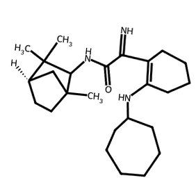 CC12CC[C@H](C1)C(C)(C)C2NC(=O)C(=N)C1=C(NC2CCCCCC2)CCCC1